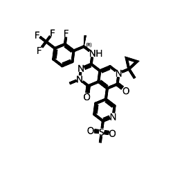 C[C@@H](Nc1nn(C)c(=O)c2c(-c3ccc(S(C)(=O)=O)nc3)c(=O)n(C3(C)CC3)cc12)c1cccc(C(F)(F)F)c1F